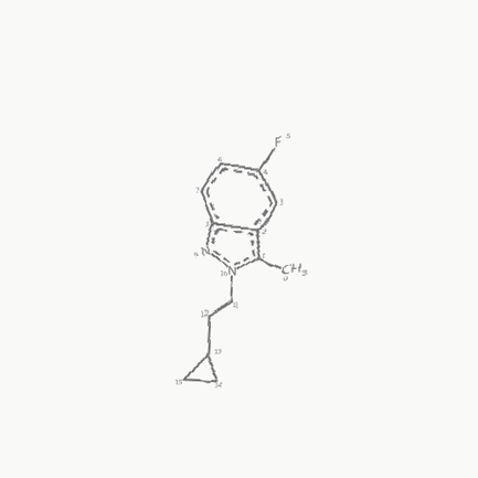 Cc1c2cc(F)ccc2nn1CCC1CC1